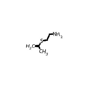 C=C(C)SCCN